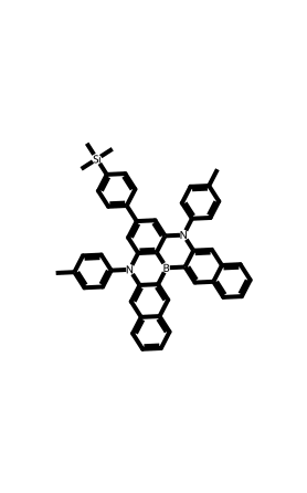 Cc1ccc(N2c3cc4ccccc4cc3B3c4cc5ccccc5cc4N(c4ccc(C)cc4)c4cc(-c5ccc([Si](C)(C)C)cc5)cc2c43)cc1